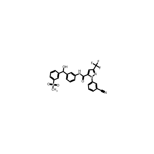 CS(=O)(=O)c1cccc(C(O)c2cccc(NC(=O)c3cc(C(F)(F)F)nn3-c3cccc(C#N)c3)c2)c1